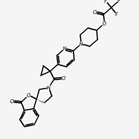 O=C1O[C@]2(CCN(C(=O)C3(c4ccc(N5CCC(OC(=O)C(F)(F)F)CC5)nc4)CC3)C2)c2ccccc21